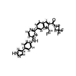 O=C(c1cc2ccc(-c3nccc(Nc4ccc(-c5cn[nH]c5)cc4)n3)cc2n1CF)N1CC(F)(F)C1